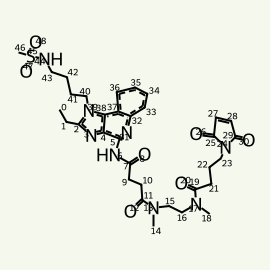 CCc1nc2c(NC(=O)CCC(=O)N(C)CCN(C)C(=O)CCCN3C(=O)C=CC3=O)nc3ccccc3c2n1CCCCNS(C)(=O)=O